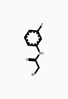 O=C(CBr)Nc1cccc(F)c1